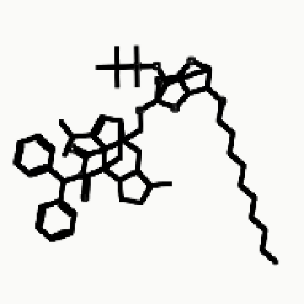 CCCCCCCCCCOC1C2OC3(OCC45CC6C(C)CCC6C6(C=O)CC4C=C(C(C)C)C65C(=O)OC(c4ccccc4)c4ccccc4)OC2OC1C3O[Si](C)(C)C(C)(C)C